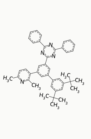 Cc1ccc(-c2cc(-c3cc(C(C)(C)C)cc(C(C)(C)C)c3)cc(-c3nc(-c4ccccc4)nc(-c4ccccc4)n3)c2)c(C)n1